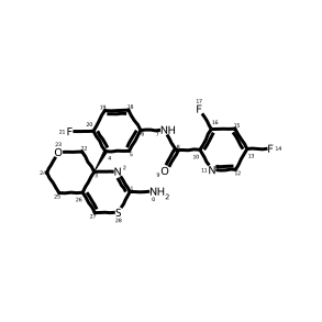 NC1=N[C@@]2(c3cc(NC(=O)c4ncc(F)cc4F)ccc3F)COCCC2=CS1